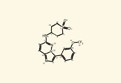 O=S1(=O)CCC(Nc2ccc3ncc(-c4cccc(OC(F)(F)F)c4)n3n2)CC1